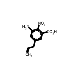 C=CCc1cc(N)c([N+](=O)[O-])c(C(=O)O)c1